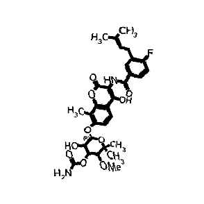 COC1C(OC(N)=O)C(O)[C@H](Oc2ccc3c(O)c(NC(=O)c4ccc(F)c(CC=C(C)C)c4)c(=O)oc3c2C)OC1(C)C